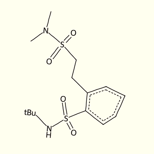 CN(C)S(=O)(=O)CCc1ccccc1S(=O)(=O)NC(C)(C)C